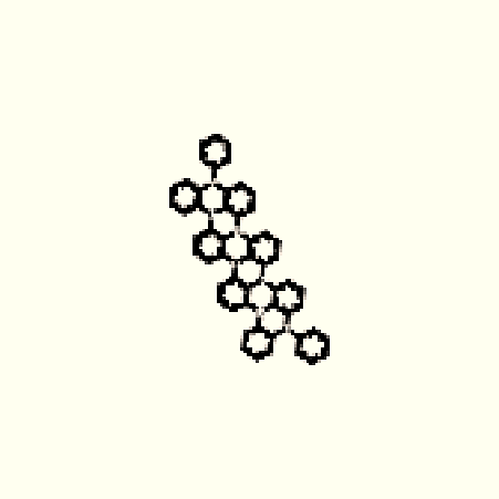 c1ccc(N2c3ccccc3B3c4cccc5c4N(c4cccc2c43)c2cccc3c2B5c2cccc4c2N3c2cccc3c2B4c2ccccc2N3c2ccccc2)cc1